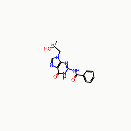 C[C@@H](O)Cn1cnc2c(=O)[nH]c(NC(=O)c3ccccc3)nc21